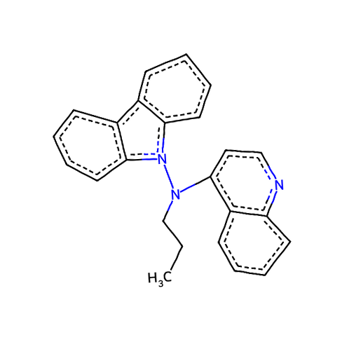 CCCN(c1ccnc2ccccc12)n1c2ccccc2c2ccccc21